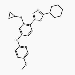 COc1ccc(Nc2ccc(-c3cnc(C4CCCCC4)s3)c(SC3CC3)c2)nc1